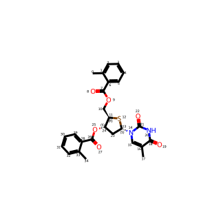 Cc1ccccc1C(=O)OC[C@H]1S[C@H](n2cc(C)c(=O)[nH]c2=O)C[C@@H]1OC(=O)c1ccccc1C